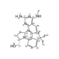 CNc1nc(N)nc2nc(-c3c(N4CCC[C@H]4CO)cccc3C(F)(F)F)ccc12